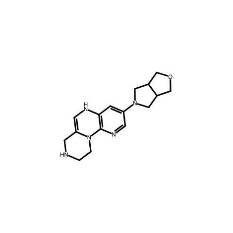 C1=C2CNCCN2c2ncc(N3CC4COCC4C3)cc2N1